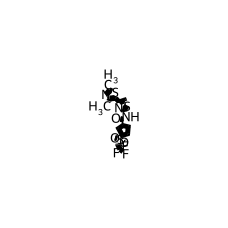 Cc1nc(C)c(-c2csc(NC(=O)[C@H]3CC[C@H](S(=O)(=O)CC(F)(F)F)C3)n2)s1